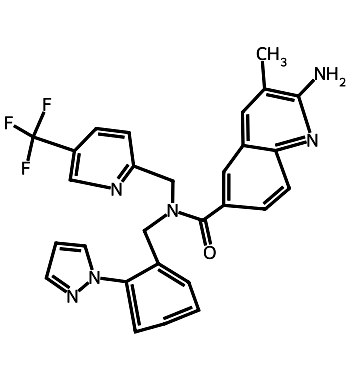 Cc1cc2cc(C(=O)N(Cc3ccc(C(F)(F)F)cn3)Cc3ccccc3-n3cccn3)ccc2nc1N